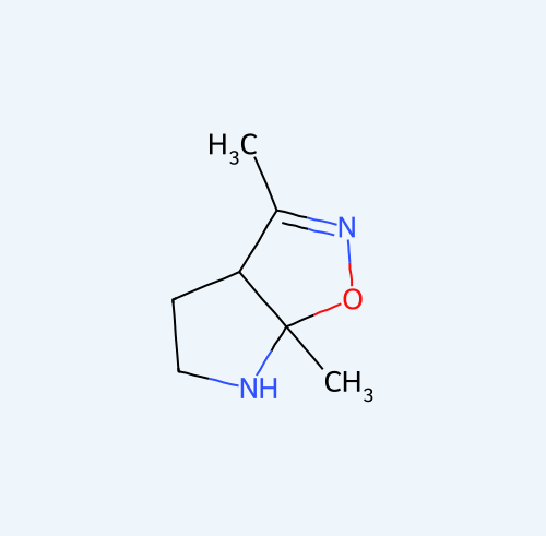 CC1=NOC2(C)NCCC12